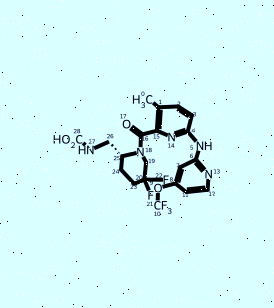 Cc1ccc(Nc2cc(OC(F)(F)F)ccn2)nc1C(=O)N1CC(F)(F)CC[C@@H]1CNC(=O)O